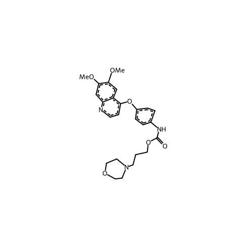 COc1cc2nccc(Oc3ccc(NC(=O)OCCCN4CCOCC4)cc3)c2cc1OC